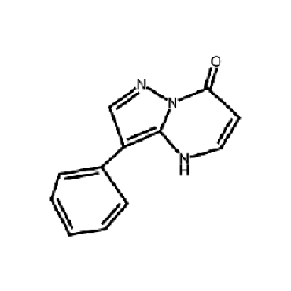 O=c1cc[nH]c2c(-c3ccccc3)cnn12